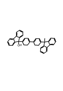 CC1(C2=CC=C(C3=CC=C(C4(O)c5ccccc5-c5ccccc54)CC3)CC2)c2ccccc2-c2ccccc21